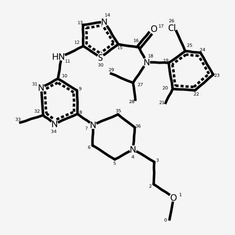 COCCN1CCN(c2cc(Nc3cnc(C(=O)N(c4c(C)cccc4Cl)C(C)C)s3)nc(C)n2)CC1